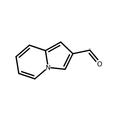 O=[C]c1cc2ccccn2c1